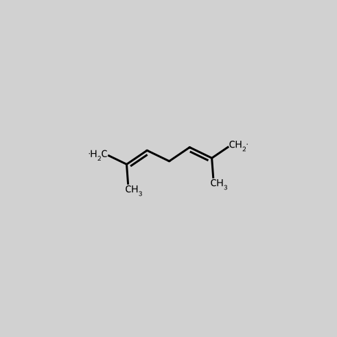 [CH2]/C(C)=C/C/C=C(/[CH2])C